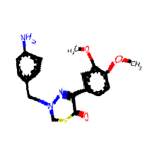 COc1ccc(C2=NN(Cc3ccc(N)cc3)CSC2=O)cc1OC